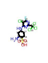 Nc1cc(Nc2nc(C(Cl)(Cl)Cl)nc(F)c2Cl)ccc1S(=O)(=O)O